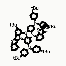 CC(C)(C)c1ccc(N(c2ccc(C(C)(C)C)cc2)c2ccc3c(c2)N(c2cccc4c2sc2ccccc24)c2cc(N(c4ccc(C(C)(C)C)cc4)c4ccc(C(C)(C)C)cc4)cc4c2B3c2cc(C(C)(C)C)cc3c5sc6ccccc6c5n-4c23)cc1